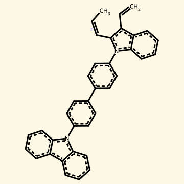 C=Cc1c(/C=C\C)n(-c2ccc(-c3ccc(-n4c5ccccc5c5ccccc54)cc3)cc2)c2ccccc12